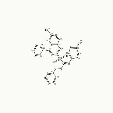 O=S(=O)(C(C=Cc1ccccc1)=Cc1ccc(Br)cc1)C(C=Cc1ccccc1)=Cc1ccc(Br)cc1